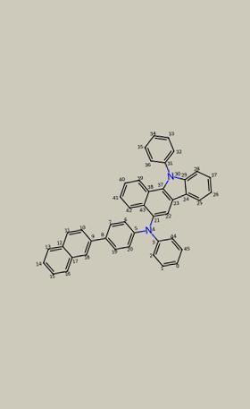 c1ccc(N(c2ccc(-c3ccc4ccccc4c3)cc2)c2cc3c4ccccc4n(-c4ccccc4)c3c3ccccc23)cc1